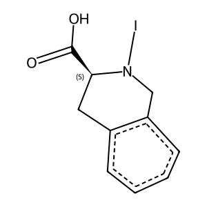 O=C(O)[C@@H]1Cc2ccccc2CN1I